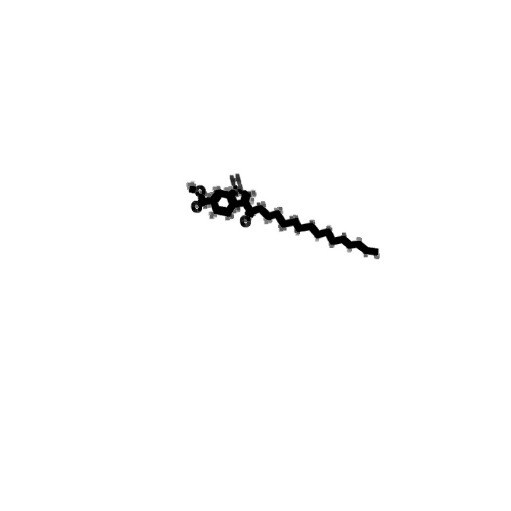 CCCCCCCCCCCCCCCC(=O)c1c[nH]c2cc(C(=O)OC)ccc12